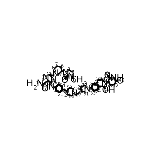 CN1CCN([C@@H]2CCCN(c3cnc(C(N)=O)c(Nc4ccc(C5CCN(C[C@H]6CCN(c7ccc8c(c7)C=CN(C7CCC(=O)NC7=O)C8O)C6)CC5)cc4)n3)C2)C1=O